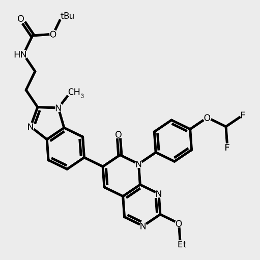 CCOc1ncc2cc(-c3ccc4nc(CCNC(=O)OC(C)(C)C)n(C)c4c3)c(=O)n(-c3ccc(OC(F)F)cc3)c2n1